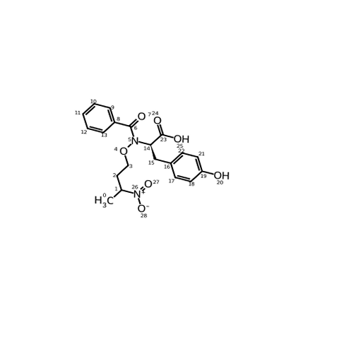 CC(CCON(C(=O)c1ccccc1)[C@H](Cc1ccc(O)cc1)C(=O)O)[N+](=O)[O-]